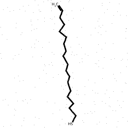 C=CCCCCCCCCCCCCCCCCS